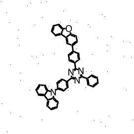 c1ccc(-c2nc(-c3ccc(-c4ccc5oc6ccccc6c5c4)cc3)nc(-c3ccc(-n4c5ccccc5c5ccccc54)cc3)n2)cc1